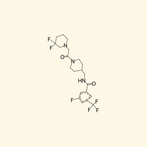 O=C(NCC1CCN(C(=O)CN2CCCC(F)(F)C2)CC1)c1cc(F)cc(C(F)(F)F)c1